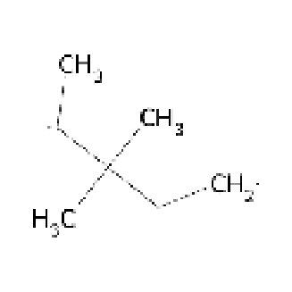 [CH2]CC(C)(C)[CH]C